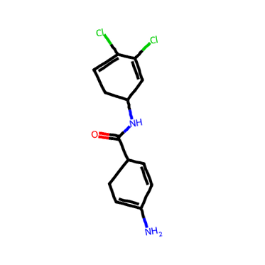 NC1=CCC(C(=O)NC2C=C(Cl)C(Cl)=CC2)C=C1